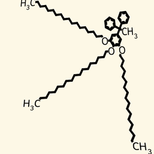 CCCCCCCCCCCCCCCCCCOc1cc(C(C)(c2ccccc2)c2ccccc2)cc(OCCCCCCCCCCCCCCCCCC)c1OCCCCCCCCCCCCCCCCCC